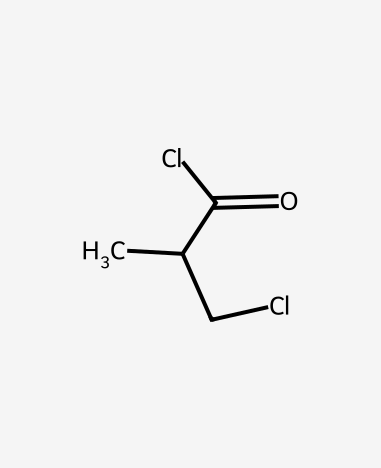 CC(CCl)C(=O)Cl